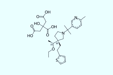 CCO[C@@H](C)[C@]1(CCc2cccs2)CCN(C(C)(C)c2ccc(C)nc2)C1.O=C(O)CC(O)(CC(=O)O)C(=O)O